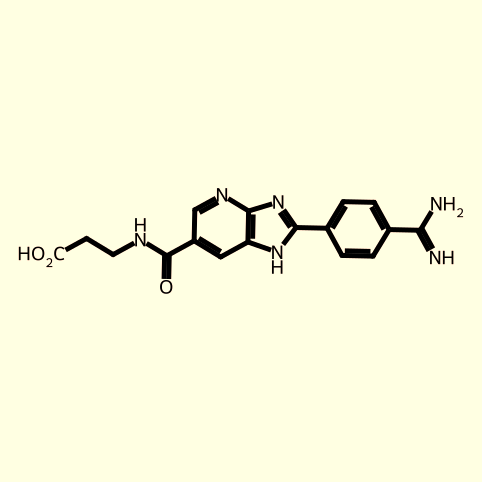 N=C(N)c1ccc(-c2nc3ncc(C(=O)NCCC(=O)O)cc3[nH]2)cc1